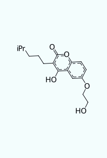 CC(C)CCCc1c(O)c2cc(OCCO)ccc2oc1=O